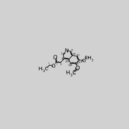 CCOC(=O)Cc1cncc2cc(OC)c(OC)cc12